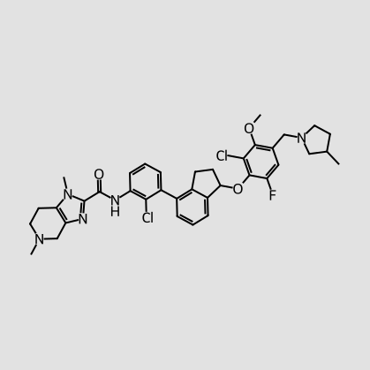 COc1c(CN2CCC(C)C2)cc(F)c(OC2CCc3c(-c4cccc(NC(=O)c5nc6c(n5C)CCN(C)C6)c4Cl)cccc32)c1Cl